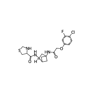 O=C(COc1ccc(Cl)c(F)c1)NC12CC(C1)[C@@H](NC(=O)C1CSCN1)C2